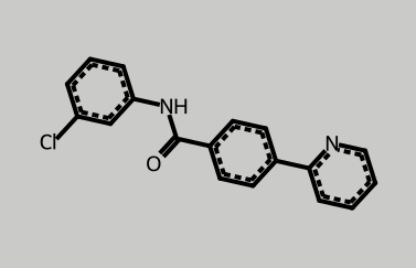 O=C(Nc1cccc(Cl)c1)c1ccc(-c2ccccn2)cc1